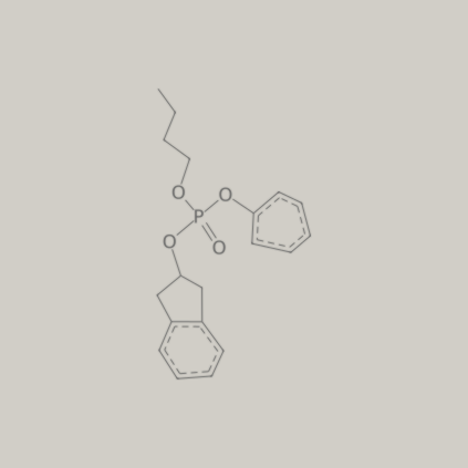 CCCCOP(=O)(Oc1ccccc1)OC1Cc2ccccc2C1